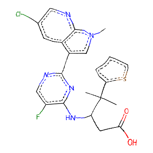 Cn1cc(-c2ncc(F)c(NC(CC(=O)O)C(C)(C)c3cccs3)n2)c2cc(Cl)cnc21